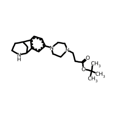 CC(C)(C)OC(=O)CCN1CCN(c2ccc3c(c2)C2CC3CCN2)CC1